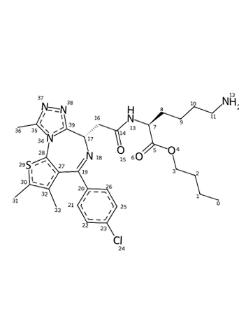 CCCCOC(=O)[C@H](CCCCN)NC(=O)C[C@@H]1N=C(c2ccc(Cl)cc2)c2c(sc(C)c2C)-n2c(C)nnc21